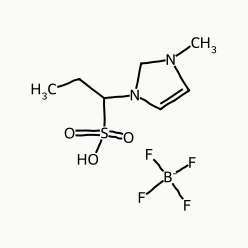 CCC(N1C=CN(C)C1)S(=O)(=O)O.F[B-](F)(F)F